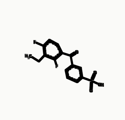 CCc1c(F)ccc(C(=O)c2cccc(S(=O)(=O)O)c2)c1F